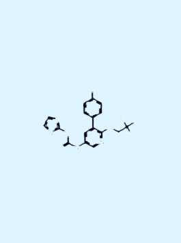 O=C(Nc1cnc(OCC(F)(F)F)c(-c2ccc(Cl)cc2)c1)Oc1nccs1